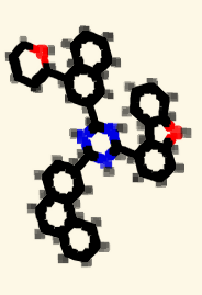 C1=CCOC(c2cc(-c3nc(-c4ccc5ccc6ccccc6c5c4)nc(-c4cccc5oc6ccccc6c45)n3)cc3ccccc23)=C1